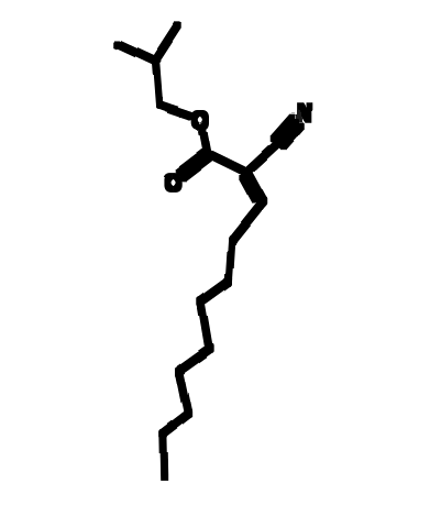 CCCCCCCCC=C(C#N)C(=O)OCC(C)C